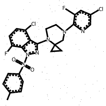 Cc1ccc(S(=O)(=O)n2nc(N3CCN(c4ncc(Cl)cc4F)CC34CC4)c3c(Cl)ccc(F)c32)cc1